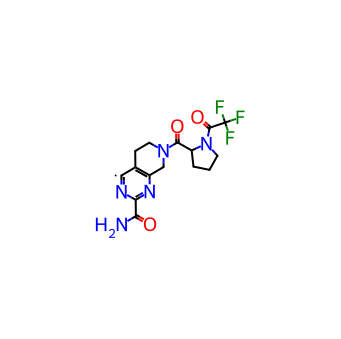 NC(=O)c1n[c]c2c(n1)CN(C(=O)C1CCCN1C(=O)C(F)(F)F)CC2